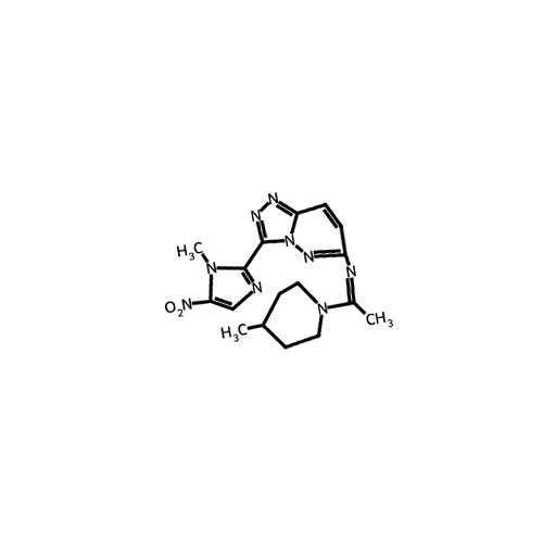 CC(=Nc1ccc2nnc(-c3ncc([N+](=O)[O-])n3C)n2n1)N1CCC(C)CC1